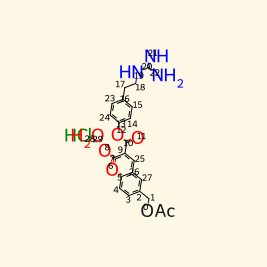 CC(=O)OCc1ccc2oc(=O)c(C(=O)Oc3ccc(CCNC(=N)N)cc3)cc2c1.Cl.O